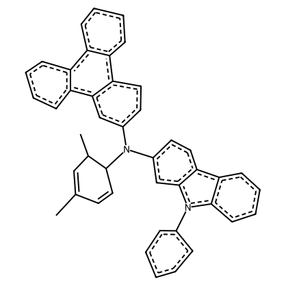 CC1=CC(C)C(N(c2ccc3c4ccccc4c4ccccc4c3c2)c2ccc3c4ccccc4n(-c4ccccc4)c3c2)C=C1